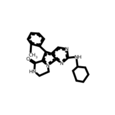 Cc1ccccc1-c1c2n(c3nc(NC4CCCCC4)ncc13)CCNC2=O